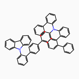 c1ccc(-c2ccccc2-c2ccccc2N(c2ccc(-c3ccc(-c4ccccc4-n4c5ccccc5c5ccccc54)cc3)cc2)c2ccccc2-c2ccccc2)cc1